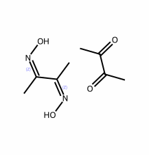 CC(=N/O)/C(C)=N\O.CC(=O)C(C)=O